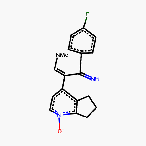 CN/C=C(\C(=N)c1ccc(F)cc1)c1cc[n+]([O-])c2c1CCC2